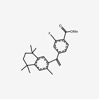 C=C(c1ccc(C(=O)OC)c(F)c1)c1cc2c(cc1C)C(C)(C)CCC2(C)C